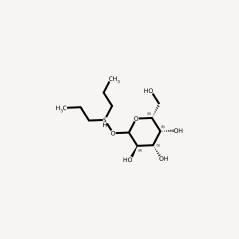 CCC[SH](CCC)OC1O[C@H](CO)[C@H](O)[C@H](O)[C@H]1O